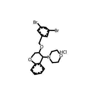 Brc1cc(Br)cc(COC2COc3ccccc3C2N2CCOCC2)c1.Cl